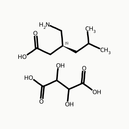 CC(C)C[C@H](CN)CC(=O)O.O=C(O)C(O)C(O)C(=O)O